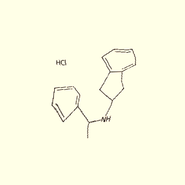 CC(NC1Cc2ccccc2C1)c1ccccc1.Cl